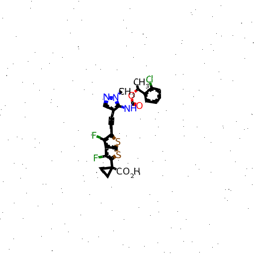 CC(OC(=O)Nc1c(C#Cc2sc3sc(C4(C(=O)O)CC4)c(F)c3c2F)cnn1C)c1ccccc1Cl